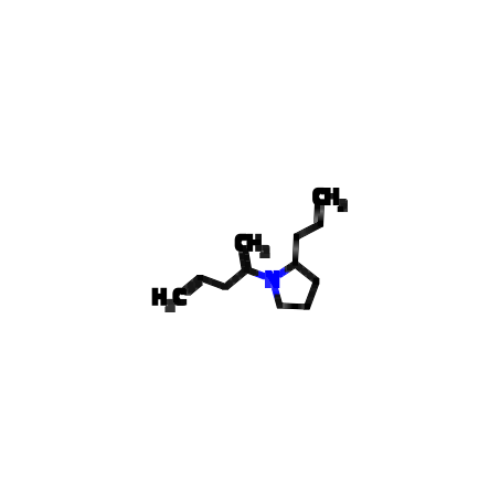 C=CCC(=C)N1CCCC1CC=C